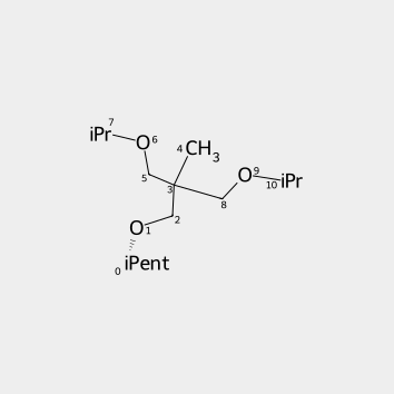 CCC[C@@H](C)OCC(C)(COC(C)C)COC(C)C